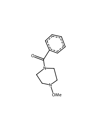 CON1CCN(C(=O)c2ccccc2)CC1